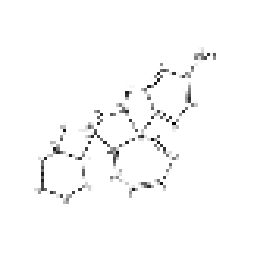 COc1ccc(C23C=CC=CC=C2[C@]2(CN4CCCCC42)OC3=O)cc1